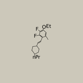 CCCC1CCC(/C=C/c2c(C)cc(OCC)c(F)c2F)CC1